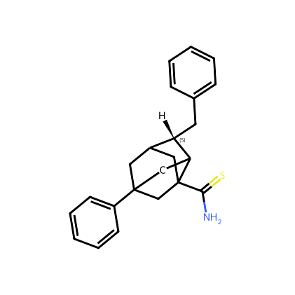 NC(=S)C12CC3CC(c4ccccc4)(CC1[C@H]3Cc1ccccc1)C2